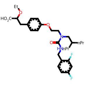 CCCC(CCC)CN(CCOc1ccc(CC(OCC)C(=O)O)cc1)C(=O)NCc1ccc(F)cc1F